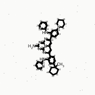 CC1(c2ccc(C3=CC4=CC(c5ccc(N6CCCCC6)cc5Nc5ccccn5)=NC5=NC(N)=NC(=N3)N45)c(Nc3ccccn3)c2)CCCCC1